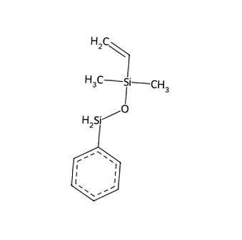 C=C[Si](C)(C)O[SiH2]c1ccccc1